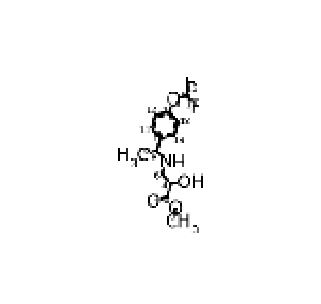 COC(=O)C(O)CNC(C)c1ccc(OC(F)F)cc1